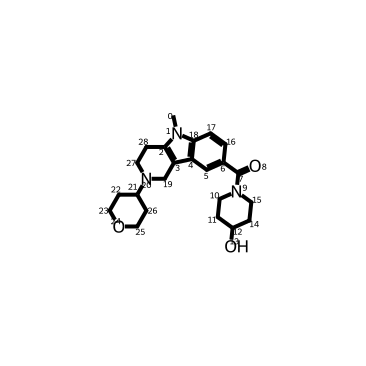 Cn1c2c(c3cc(C(=O)N4CCC(O)CC4)ccc31)CN(C1CCOCC1)CC2